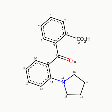 O=C(O)c1ccccc1C(=O)c1ccccc1N1CCCC1